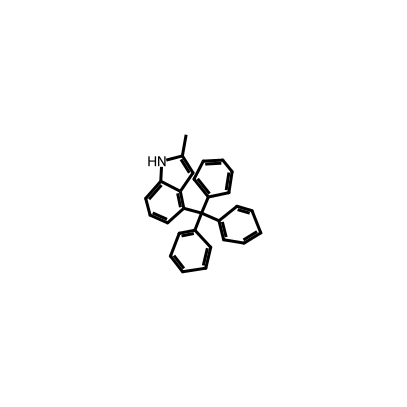 Cc1cc2c(C(c3ccccc3)(c3ccccc3)c3ccccc3)cccc2[nH]1